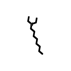 CCCCCCCCN(CC)CC